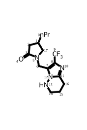 CCCC1CC(=O)N(Cc2c(C(F)(F)F)nc3n2NCCC3)C1